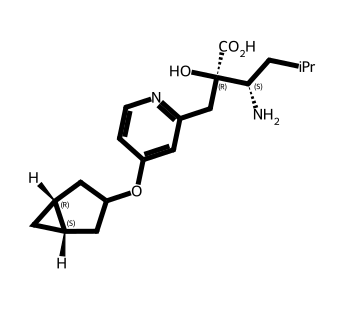 CC(C)C[C@H](N)[C@](O)(Cc1cc(OC2C[C@@H]3C[C@@H]3C2)ccn1)C(=O)O